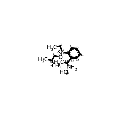 C[CH2][Sn]([O]CC(C)C)[c]1ccccc1C(C)N.Cl